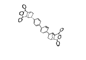 O=C1OC(=O)C2C3CC(CC3c3ccc(-c4ccc(C5CC6CC5C5C(=O)OC(=O)C65)cc4)cc3)C12